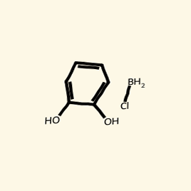 BCl.Oc1ccccc1O